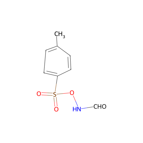 Cc1ccc(S(=O)(=O)ONC=O)cc1